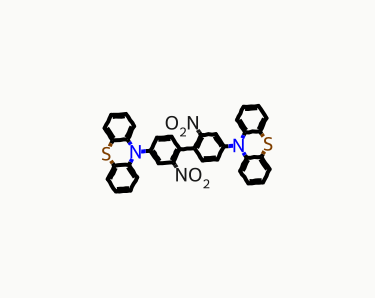 O=[N+]([O-])c1cc(N2c3ccccc3Sc3ccccc32)ccc1-c1ccc(N2c3ccccc3Sc3ccccc32)cc1[N+](=O)[O-]